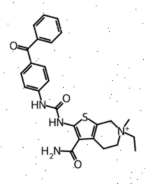 CC[N+]1(C)CCc2c(sc(NC(=O)Nc3ccc(C(=O)c4ccccc4)cc3)c2C(N)=O)C1